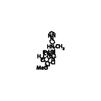 COc1cc(Cl)c(C2=C3N=CC=C(NCC(C)NC4CCN(c5ncccn5)CC4)N3N(C(C)C)C2C)c(Cl)c1